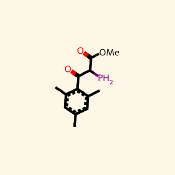 COC(=O)C(P)C(=O)c1c(C)cc(C)cc1C